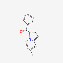 Cc1ccn2c(C(=O)c3ccccc3)ccc2c1